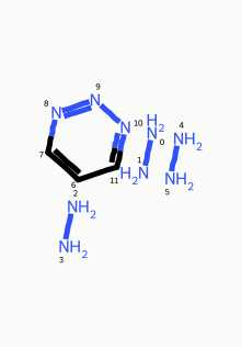 NN.NN.NN.c1cnnnc1